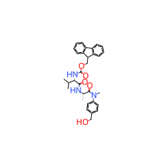 CC(C)[C@H](NC(=O)OCC1c2ccccc2-c2ccccc21)C(=O)N[C@@H](C)C(=O)N(C)c1ccc(CO)cc1